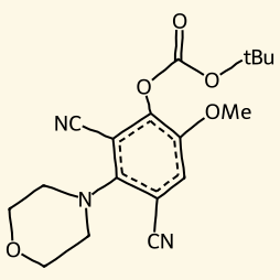 COc1cc(C#N)c(N2CCOCC2)c(C#N)c1OC(=O)OC(C)(C)C